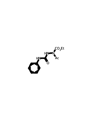 CCOC(=O)N(NC(=O)Nc1ccccc1)C(C)=O